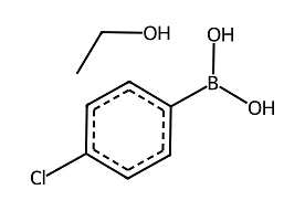 CCO.OB(O)c1ccc(Cl)cc1